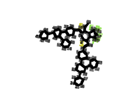 Cc1sc(-c2ccc(-c3ccc(-c4ccccc4)cc3-c3ccccc3)cc2)cc1C1C(c2cc(-c3ccc(-c4ccc(-c5ccccc5)cc4-c4ccccc4)cc3)sc2C)C(F)(F)C(F)(F)C1(F)F